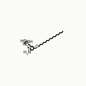 CCCCCCCCCCCCCCCCOCC(CCN)CC(COP(=O)(O)O)[N+](C)(C)C